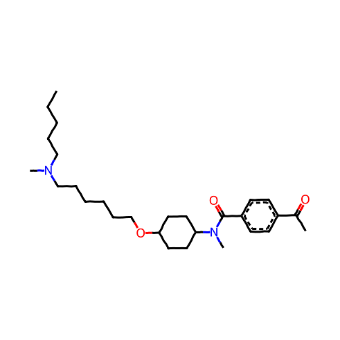 CCCCCN(C)CCCCCCOC1CCC(N(C)C(=O)c2ccc(C(C)=O)cc2)CC1